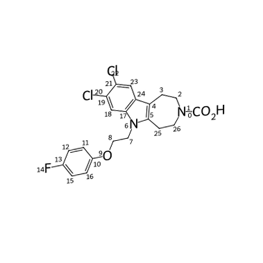 O=C(O)N1CCc2c(n(CCOc3ccc(F)cc3)c3cc(Cl)c(Cl)cc23)CC1